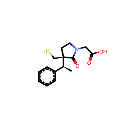 C[C@@H](c1ccccc1)[C@]1(CS)CCN(CC(=O)O)C1=O